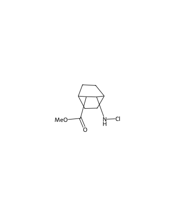 COC(=O)C1C2CCC(CC2)C1NCl